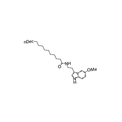 CCCCCCCCCCCCCCCCCCCC(=O)NCCc1c[nH]c2ccc(OC)cc12